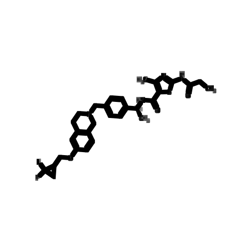 CCC(=O)Nc1nc(C)c(C(=O)N[C@@H](C)c2ccc(CN3CCc4cc(OCC5CC5(F)F)ccc4C3)cc2)s1